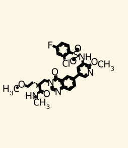 CNC(=O)[C@H](CCOC)Cn1cnc2ccc(-c3cnc(OC)c(NS(=O)(=O)c4ccc(F)cc4Cl)c3)cc2c1=O